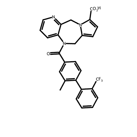 Cc1cc(C(=O)N2Cc3ccc(C(=O)O)n3Cc3ncccc32)ccc1-c1ccccc1C(F)(F)F